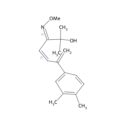 C=C(/C=C\C(=N\OC)C(C)(C)O)c1ccc(C)c(C)c1